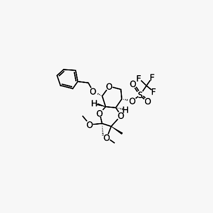 CO[C@@]1(C)O[C@@H]2[C@H](OCc3ccccc3)OC[C@H](OS(=O)(=O)C(F)(F)F)[C@H]2O[C@]1(C)OC